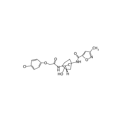 Cc1cc(C(=O)NC23CCC(NC(=O)COc4ccc(Cl)cc4)(CC2)[C@@H](O)C3)on1